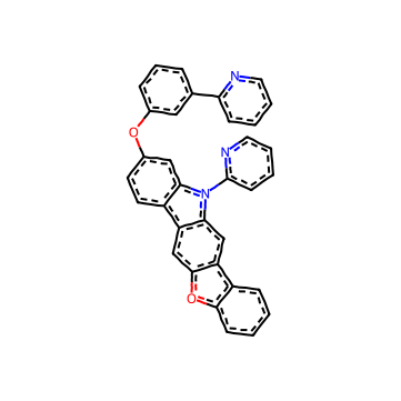 c1ccc(-c2cccc(Oc3ccc4c5cc6oc7ccccc7c6cc5n(-c5ccccn5)c4c3)c2)nc1